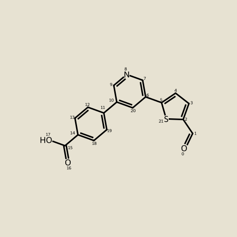 O=Cc1ccc(-c2cncc(-c3ccc(C(=O)O)cc3)c2)s1